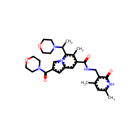 Cc1cc(C)c(CNC(=O)c2cc3cc(C(=O)N4CCOCC4)cn3c(C(C)N3CCOCC3)c2C)c(=O)[nH]1